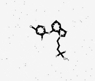 CC(F)(F)CCCn1ccc2cccc(Oc3ncc(Cl)cc3F)c21